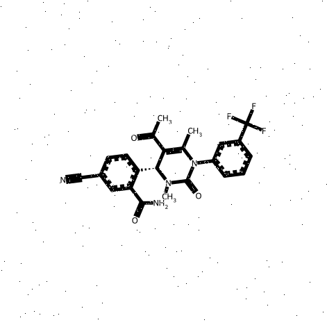 CC(=O)C1=C(C)N(c2cccc(C(F)(F)F)c2)C(=O)N(C)[C@@H]1c1ccc(C#N)cc1C(N)=O